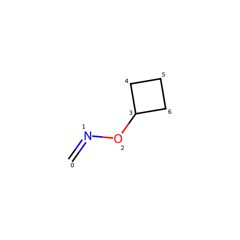 C=NOC1CCC1